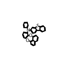 c1ccc(N(c2ccc3c(c2)sc2ccccc23)c2cccc3c2Oc2cccc4cccc(c24)O3)cc1